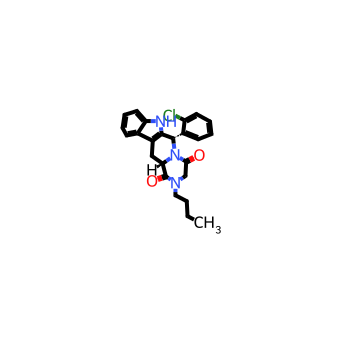 CCCCN1CC(=O)N2[C@@H](c3ccccc3Cl)c3[nH]c4ccccc4c3C[C@H]2C1=O